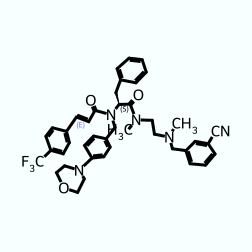 CN(CCN(C)C(=O)[C@H](Cc1ccccc1)N(Cc1ccc(N2CCOCC2)cc1)C(=O)/C=C/c1ccc(C(F)(F)F)cc1)Cc1cccc(C#N)c1